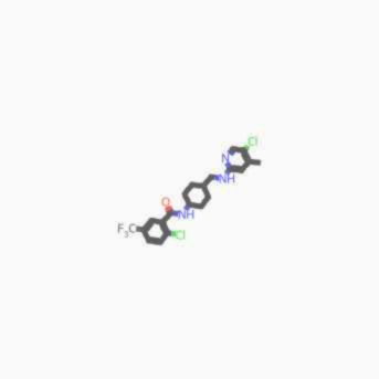 Cc1cc(NCC2CCC(NC(=O)c3cc(C(F)(F)F)ccc3Cl)CC2)ncc1Cl